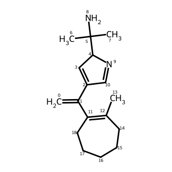 C=C(C1=CC(C(C)(C)N)N=C1)C1=C(C)CCCCC1